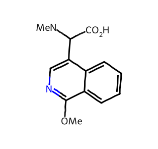 CNC(C(=O)O)c1cnc(OC)c2ccccc12